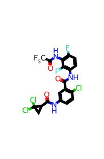 O=C(Nc1ccc(F)c(NC(=O)C(F)(F)F)c1F)c1cc(NC(=O)C2CC2(Cl)Cl)ccc1Cl